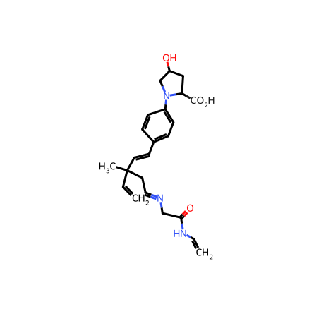 C=CNC(=O)C/N=C/CC(C)(C=C)/C=C/c1ccc(N2CC(O)CC2C(=O)O)cc1